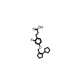 O=C(O)CCc1ccc(OCC2=C(C3CCCC3)CCC2)cc1F